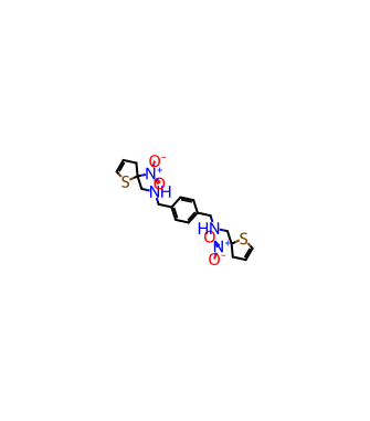 O=[N+]([O-])C1(CNCc2ccc(CNCC3([N+](=O)[O-])CC=CS3)cc2)CC=CS1